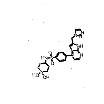 O=S(=O)(NC1CCS(O)(O)CC1)c1ccc(-c2ccnc3[nH]c(Cn4ccnn4)cc23)cc1